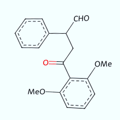 COc1cccc(OC)c1C(=O)CC(C=O)c1ccccc1